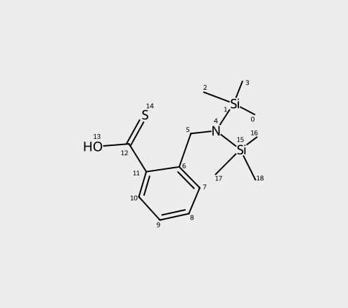 C[Si](C)(C)N(Cc1ccccc1C(O)=S)[Si](C)(C)C